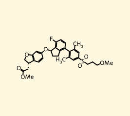 COCCCS(=O)(=O)c1cc(C)c(-c2ccc(F)c3c2CC[C@H]3Oc2ccc3c(c2)OC[C@H]3CC(=O)OC)c(C)c1